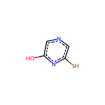 Oc1cncc(S)n1